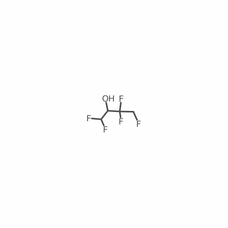 OC(C(F)F)C(F)(F)CF